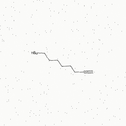 [C]#CCCCCCCCCCC